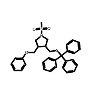 CS(=O)(=O)N1CC(COc2ccccc2)C(CSC(c2ccccc2)(c2ccccc2)c2ccccc2)C1